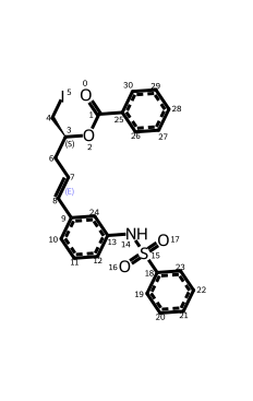 O=C(O[C@H](CI)C/C=C/c1cccc(NS(=O)(=O)c2ccccc2)c1)c1ccccc1